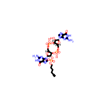 C#CCCCCOP(=O)(O)O[C@H]1C2OP(=O)(O)OC[C@H]3O[C@@H](n4cnc5c(=O)[nH]c(N)nc54)C(O)[C@H]3OP(=O)(O)OC[C@H]2O[C@H]1n1cnc2c(=O)[nH]c(N)nc21